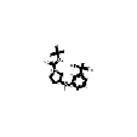 CC(C)(C)OC(=O)N1CCC(Nc2cccc(C(F)(F)F)c2)C1